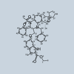 CCOC(=O)c1[nH]c2cc(OCCN(Cc3ccccc3)c3c([C@@H](C)O[Si](CC)(CC)CC)cccc3N(Cc3ccccc3)S(C)(=O)=O)ccc2c1C